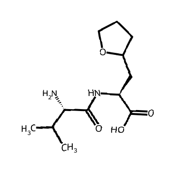 CC(C)[C@H](N)C(=O)N[C@@H](CC1CCCO1)C(=O)O